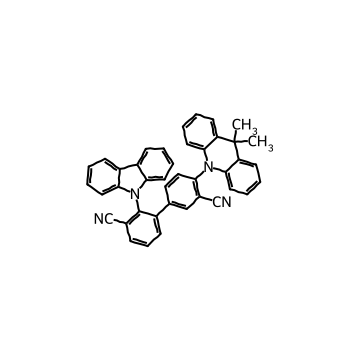 CC1(C)c2ccccc2N(c2ccc(-c3cccc(C#N)c3-n3c4ccccc4c4ccccc43)cc2C#N)c2ccccc21